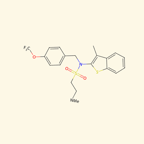 CNCCS(=O)(=O)N(Cc1ccc(OC(F)(F)F)cc1)c1sc2ccccc2c1C